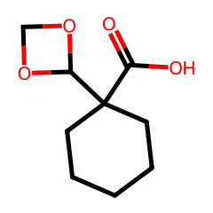 O=C(O)C1(C2OCO2)CCCCC1